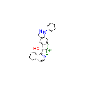 OC(c1ccc2c(cnn2-c2ccccc2)c1)(c1nccc2ccccc12)C(F)(F)F